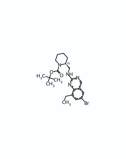 CCc1cc(Br)cc2cnc(NC[C@@H]3CCCCN3C(=O)OC(C)(C)C)nc12